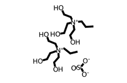 CCC[N+](CCO)(CCO)CCO.CCC[N+](CCO)(CCO)CCO.O=[Si]([O-])[O-]